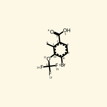 Cc1c(C(=O)O)ccc(Br)c1OC(F)(F)F